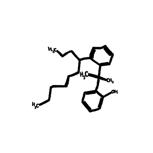 CCCCCCC(CCC)c1ccccc1C(C)(C)c1ccccc1O